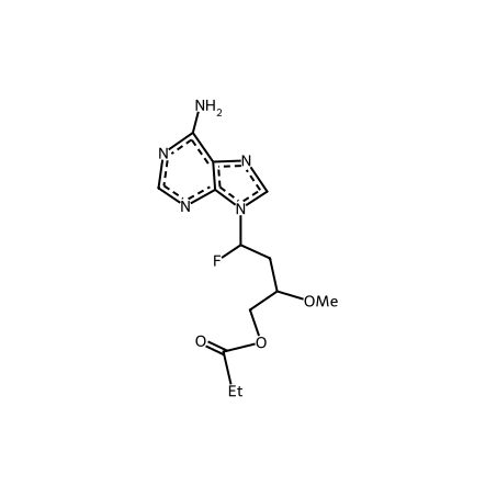 CCC(=O)OCC(CC(F)n1cnc2c(N)ncnc21)OC